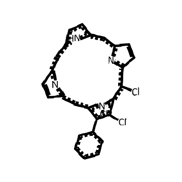 Clc1c2nc(cc3ccc(cc4nc(cc5c(-c6ccccc6)c(Cl)c1n5Cl)C=C4)[nH]3)C=C2